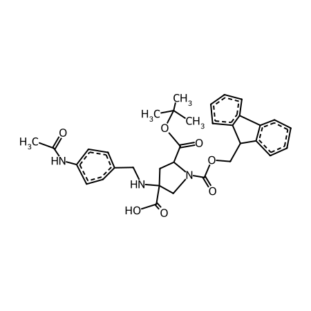 CC(=O)Nc1ccc(CNC2(C(=O)O)CC(C(=O)OC(C)(C)C)N(C(=O)OCC3c4ccccc4-c4ccccc43)C2)cc1